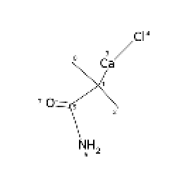 C[C](C)([Ca][Cl])C(N)=O